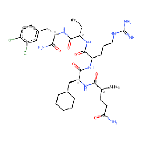 CC(=O)N[C@@H](CCC(N)=O)C(=O)N[C@@H](CC1CCCCC1)C(=O)NC(CCCNC(=N)N)C(=O)N[C@@H](CC(C)C)C(=O)N[C@@H](Cc1ccc(Cl)c(Cl)c1)C(N)=O